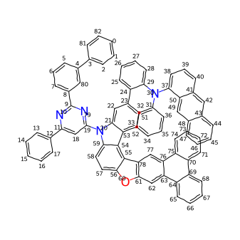 c1ccc(-c2cccc(-c3nc(-c4ccccc4)cc(-n4c5cc(-c6ccccc6N(c6ccccc6)c6cccc7cc8ccccc8cc67)ccc5c5c6c(ccc54)oc4cc5c7ccccc7c7ccccc7c5cc46)n3)c2)cc1